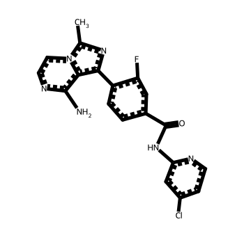 Cc1nc(-c2ccc(C(=O)Nc3cc(Cl)ccn3)cc2F)c2c(N)nccn12